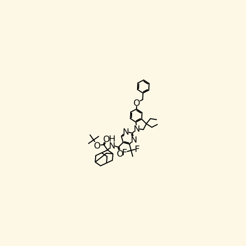 CCC1(CC)CN(c2ncc(C(=O)NC3(C(=O)OC(C)(C)C)C4CC5CC(C4)CC3C5)c(C(C)(F)F)n2)c2ccc(OCc3ccccc3)cc21